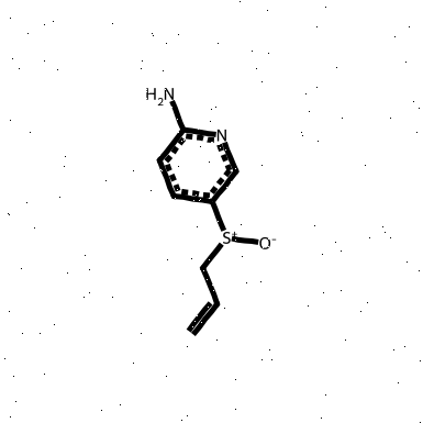 C=CC[S+]([O-])c1ccc(N)nc1